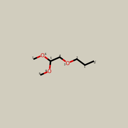 [CH2]CCOCC(OC)OC